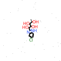 C[C@@H](O)[C@H](O)[C@H](O)[C@@H](O)c1nc2cc(Cl)ccc2[nH]1